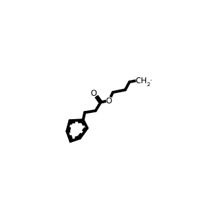 [CH2]CCCOC(=O)CCc1ccccc1